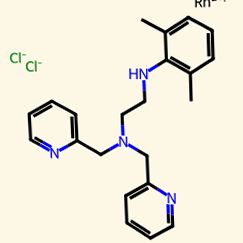 Cc1cccc(C)c1NCCN(Cc1ccccn1)Cc1ccccn1.[Cl-].[Cl-].[Rh+2]